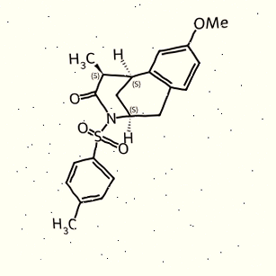 COc1ccc2c(c1)[C@H]1C[C@@H](C2)N(S(=O)(=O)c2ccc(C)cc2)C(=O)[C@H]1C